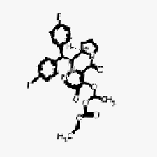 CCOC(=O)OC(C)Oc1c2n(ncc1=O)[C@@H](C(c1ccc(F)cc1)c1ccc(F)cc1)[C@H]1CCCN1C2=O